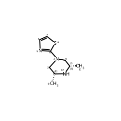 C[C@@H]1CN(c2nccs2)C[C@H](C)N1